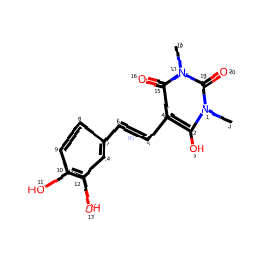 Cn1c(O)c(/C=C/c2ccc(O)c(O)c2)c(=O)n(C)c1=O